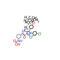 Cc1c(C(=O)NC2CCCC(NC(=O)O)C2)nn(-c2ccc(Cl)cc2Cl)c1-c1ccc(O[Si](C)(C)C(C)(C)C)cc1